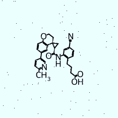 Cc1ccc(-c2ccc3c(c2)[C@]2(CCO3)C[C@H]2C(=O)Nc2cc(C#N)ccc2CCCC(=O)O)cn1